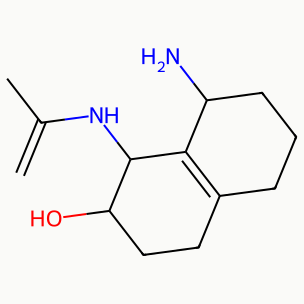 C=C(C)NC1C2=C(CCCC2N)CCC1O